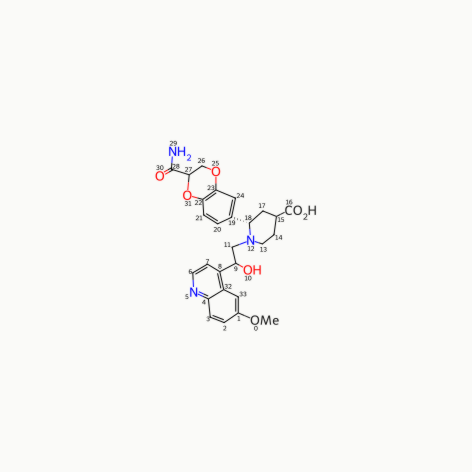 COc1ccc2nccc(C(O)CN3CCC(C(=O)O)C[C@H]3c3ccc4c(c3)OCC(C(N)=O)O4)c2c1